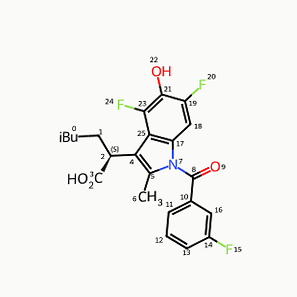 CCC(C)C[C@H](C(=O)O)c1c(C)n(C(=O)c2cccc(F)c2)c2cc(F)c(O)c(F)c12